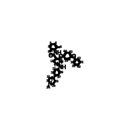 Cc1cccc(C)c1NC(=O)c1cnc(Nc2ccc(N3CCN(C)CC3)cc2)nc1Oc1ccc(Oc2ccccc2)cc1